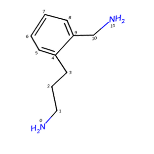 NCCCc1ccccc1CN